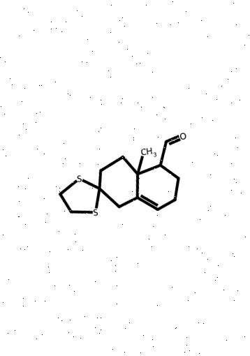 CC12CCC3(CC1=CCCC2C=O)SCCS3